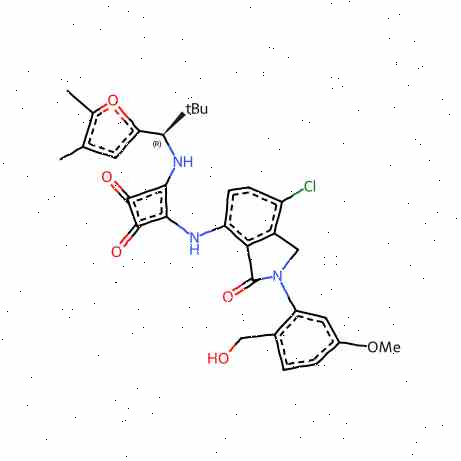 COc1ccc(CO)c(N2Cc3c(Cl)ccc(Nc4c(N[C@@H](c5cc(C)c(C)o5)C(C)(C)C)c(=O)c4=O)c3C2=O)c1